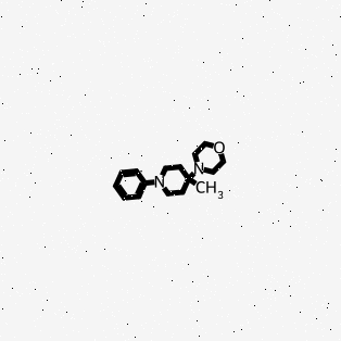 CC1(N2CCOCC2)CCN(c2[c]cccc2)CC1